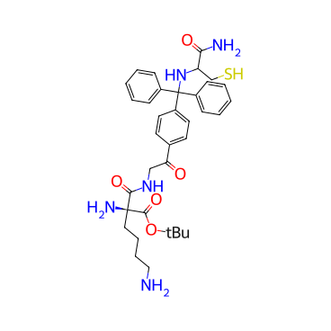 CC(C)(C)OC(=O)[C@](N)(CCCCN)C(=O)NCC(=O)c1ccc(C(NC(CS)C(N)=O)(c2ccccc2)c2ccccc2)cc1